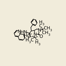 CC(C)(C)N1CC(C(Cc2ccccc2)C(=O)Nc2cccc3cccnc23)N(C(C)(C)C)C1=O